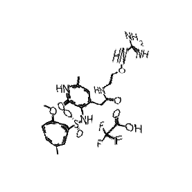 COc1ccc(C)cc1S(=O)(=O)Nc1c(CC(=O)NCCONC(=N)N)cc(C)[nH]c1=O.O=C(O)C(F)(F)F